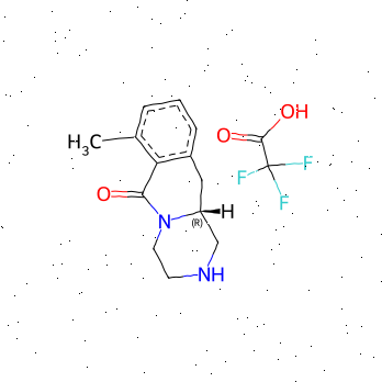 Cc1cccc2c1C(=O)N1CCNC[C@H]1C2.O=C(O)C(F)(F)F